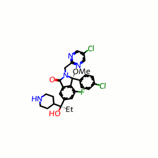 CC[C@@](O)(c1cc(F)c2c(c1)C(=O)N(Cc1ncc(Cl)cn1)[C@@]2(OC)c1ccc(Cl)cc1)C1CCNCC1